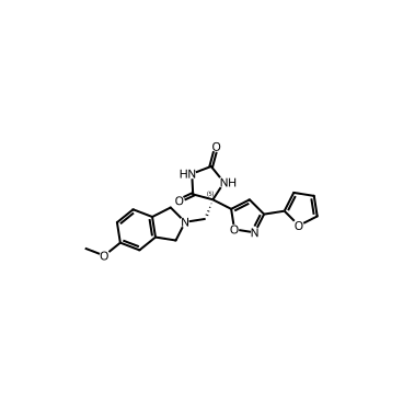 COc1ccc2c(c1)CN(C[C@@]1(c3cc(-c4ccco4)no3)NC(=O)NC1=O)C2